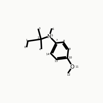 CCC(C)(C)N(C)c1ccc(OC)cc1